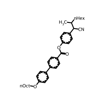 CCCCCCCCOc1ccc(-c2ccc(C(=O)Oc3ccc(C(C#N)C(C)CCCCCC)cc3)cc2)cc1